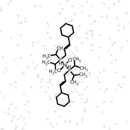 CC(C)[PH](CC=CC1CCCCC1)(C(C)C)[Ni]([Cl])([Cl])[PH](CC=CC1CCCCC1)(C(C)C)C(C)C